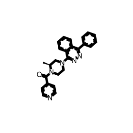 C[C@H]1CN(c2nnc(-c3ccccc3)c3ccccc23)CCN1C(=O)c1ccncc1